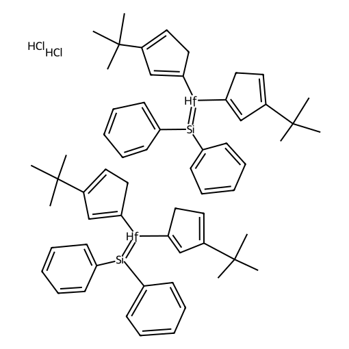 CC(C)(C)C1=CC[C]([Hf]([C]2=CC(C(C)(C)C)=CC2)=[Si](c2ccccc2)c2ccccc2)=C1.CC(C)(C)C1=CC[C]([Hf]([C]2=CC(C(C)(C)C)=CC2)=[Si](c2ccccc2)c2ccccc2)=C1.Cl.Cl